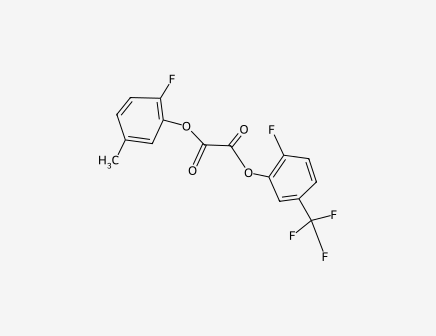 Cc1ccc(F)c(OC(=O)C(=O)Oc2cc(C(F)(F)F)ccc2F)c1